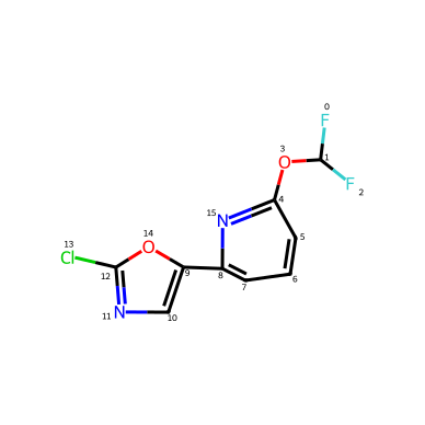 FC(F)Oc1cccc(-c2cnc(Cl)o2)n1